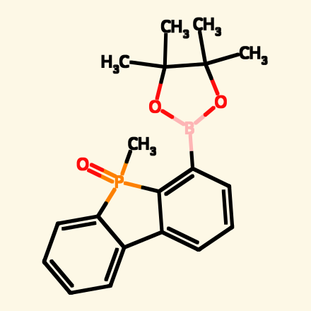 CC1(C)OB(c2cccc3c2P(C)(=O)c2ccccc2-3)OC1(C)C